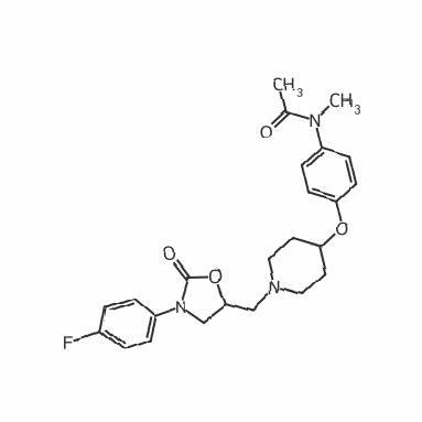 CC(=O)N(C)c1ccc(OC2CCN(CC3CN(c4ccc(F)cc4)C(=O)O3)CC2)cc1